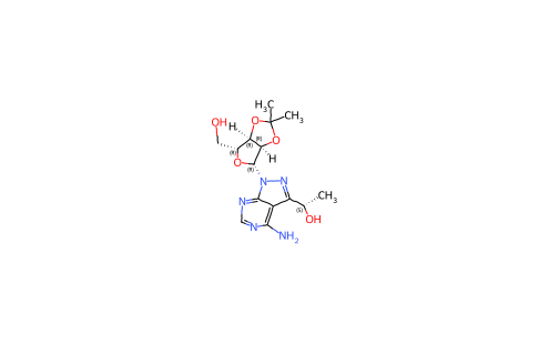 C[C@H](O)c1nn([C@@H]2O[C@H](CO)[C@H]3OC(C)(C)O[C@H]32)c2ncnc(N)c12